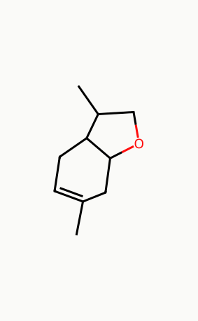 CC1=CCC2C(C)COC2C1